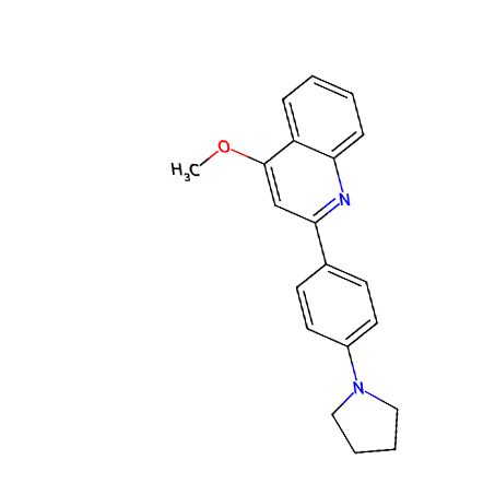 COc1cc(-c2ccc(N3CCCC3)cc2)nc2ccccc12